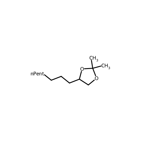 [CH2]CCCCCCCC1COC(C)(C)O1